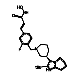 CC(C)(C)c1[nH]c2ccccc2c1[C@@H]1CCCN(Cc2ccc(C=CC(=O)NO)cc2F)C1